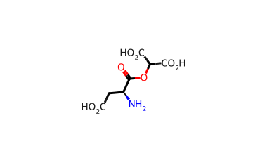 N[C@@H](CC(=O)O)C(=O)OC(C(=O)O)C(=O)O